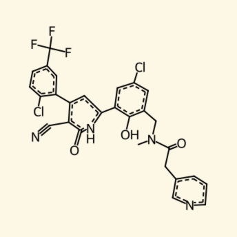 CN(Cc1cc(Cl)cc(-c2cc(-c3cc(C(F)(F)F)ccc3Cl)c(C#N)c(=O)[nH]2)c1O)C(=O)Cc1cccnc1